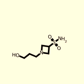 NS(=O)(=O)C1CN(CCCO)C1